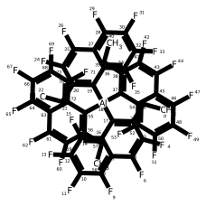 CCc1c(F)c(F)c2c(F)c(F)c(F)c(F)c2[c]1[Al-]([c]1c(CC)c(F)c(F)c2c(F)c(F)c(F)c(F)c12)([c]1c(CC)c(F)c(F)c2c(F)c(F)c(F)c(F)c12)[c]1c(CC)c(F)c(F)c2c(F)c(F)c(F)c(F)c12